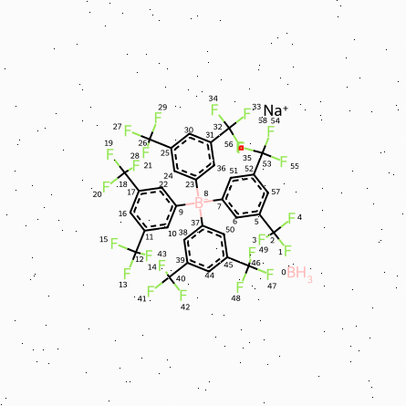 B.FC(F)(F)c1cc([B-](c2cc(C(F)(F)F)cc(C(F)(F)F)c2)(c2cc(C(F)(F)F)cc(C(F)(F)F)c2)c2cc(C(F)(F)F)cc(C(F)(F)F)c2)cc(C(F)(F)F)c1.[Na+]